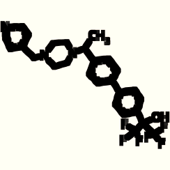 CC(c1ccc(-c2ccc(C(O)(C(F)(F)F)C(F)(F)F)cc2)cc1)N1CCN(Cc2ccncc2)CC1